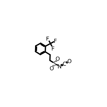 O=C=NS(=O)(=O)CCc1ccccc1C(F)(F)F